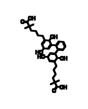 CC(C)(CCCCC1=CC(O)C=C(c2ccccc2C2=CC(O)C=C(CCCCC(C)(C)C(=O)O)C2O)C1O)C(=O)O